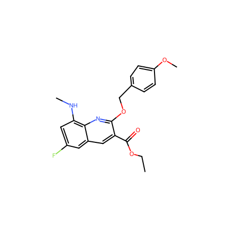 CCOC(=O)c1cc2cc(F)cc(NC)c2nc1OCc1ccc(OC)cc1